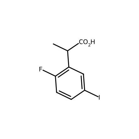 CC(C(=O)O)c1cc(I)ccc1F